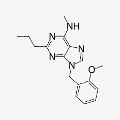 CCCc1nc(NC)c2ncn(Cc3ccccc3OC)c2n1